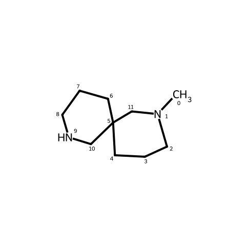 CN1CCCC2(CCCNC2)C1